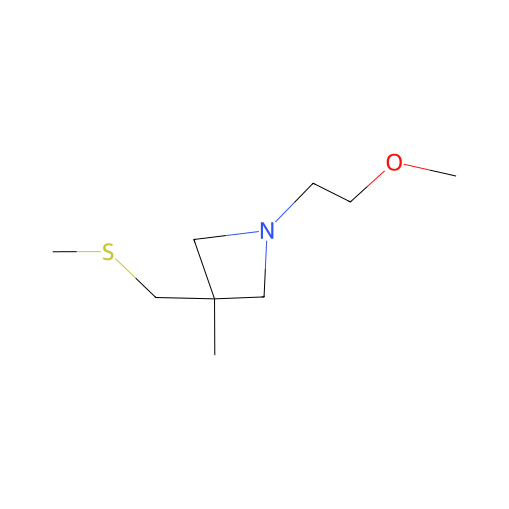 COCCN1CC(C)(CSC)C1